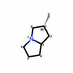 C[C@@H]1CC2CCCN2C1